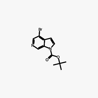 CC(C)(C)OC(=O)n1ccc2c(Br)cncc21